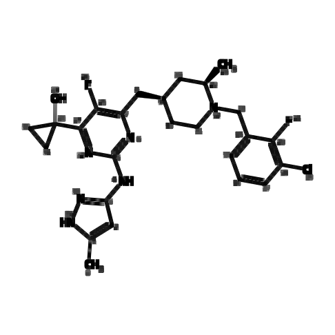 Cc1cc(Nc2nc(C[C@@H]3CCN(Cc4cccc(Cl)c4F)[C@H](C)C3)c(F)c(C3(O)CC3)n2)n[nH]1